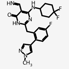 Cn1cc(-c2ccc(F)cc2Cc2nc(NC3CCC(F)(F)CC3)c(C=N)c(=O)[nH]2)cn1